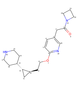 O=C(Cc1ccc(OCC[C@H]2C[C@@H]2C2CCNCC2)nc1)N1CCC1